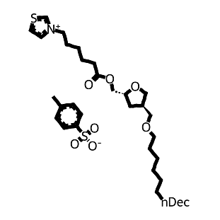 CCCCCCCCCCCCCCCCOC[C@@H]1CO[C@@H](COC(=O)CCCCC[n+]2ccsc2)C1.Cc1ccc(S(=O)(=O)[O-])cc1